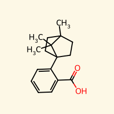 CC12CCC(c3ccccc3C(=O)O)(CC1)C2(C)C